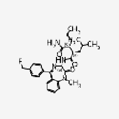 CCC[C@H](C(N)=O)[C@@H](CC(C)C)C(=O)N[C@H]1N=C(c2ccc(CF)cc2)c2ccccc2N(C)C1=O